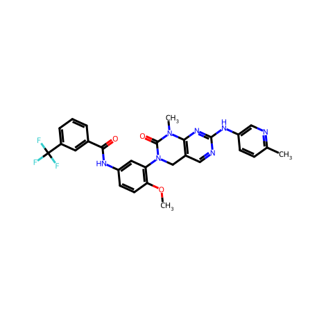 COc1ccc(NC(=O)c2cccc(C(F)(F)F)c2)cc1N1Cc2cnc(Nc3ccc(C)nc3)nc2N(C)C1=O